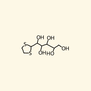 OCC(O)C(O)C(O)C(O)C1SCCS1